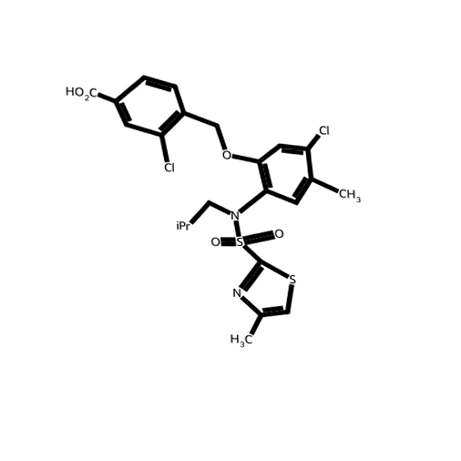 Cc1csc(S(=O)(=O)N(CC(C)C)c2cc(C)c(Cl)cc2OCc2ccc(C(=O)O)cc2Cl)n1